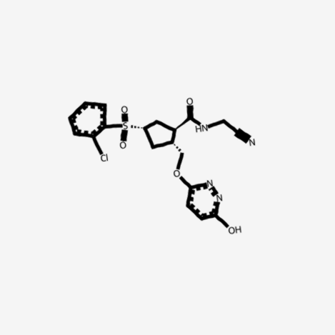 N#CCNC(=O)[C@@H]1C[C@@H](S(=O)(=O)c2ccccc2Cl)C[C@H]1COc1ccc(O)nn1